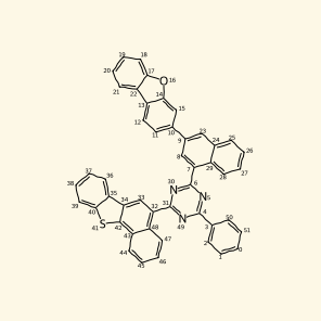 c1ccc(-c2nc(-c3cc(-c4ccc5c(c4)oc4ccccc45)cc4ccccc34)nc(-c3cc4c5ccccc5sc4c4ccccc34)n2)cc1